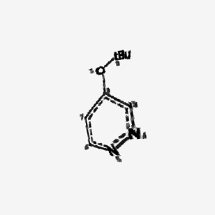 CC(C)(C)Oc1[c]nncc1